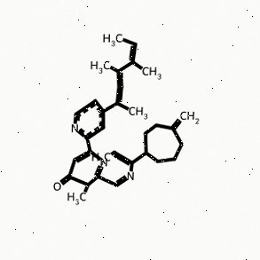 C=C1CCCC(C(=C/C)/N=C\C2=NC(c3cc(C(C)=C=C(C)/C(C)=C\C)ccn3)=CC(=O)C2C)CC1